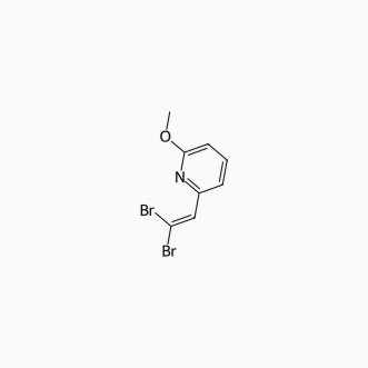 COc1cccc(C=C(Br)Br)n1